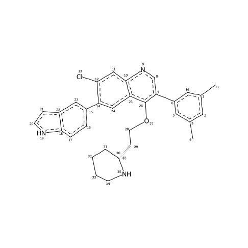 Cc1cc(C)cc(-c2cnc3cc(Cl)c(-c4ccc5[nH]ccc5c4)cc3c2OCC[C@H]2CCCCN2)c1